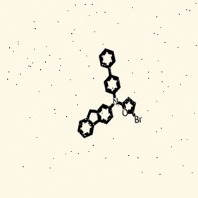 Brc1ccc(N(c2ccc(-c3ccccc3)cc2)c2ccc3c(c2)Cc2ccccc2-3)o1